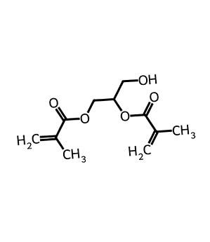 C=C(C)C(=O)OCC(CO)OC(=O)C(=C)C